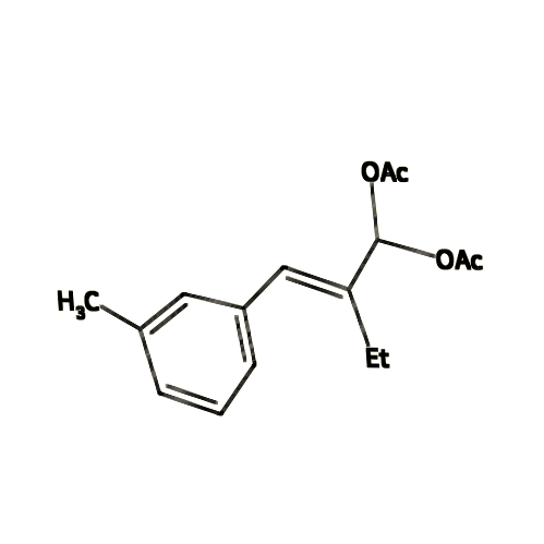 CC/C(=C\c1cccc(C)c1)C(OC(C)=O)OC(C)=O